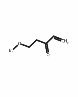 C=CC(=O)CCOCC